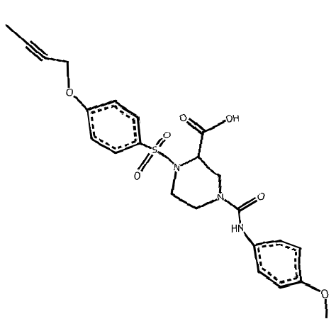 CC#CCOc1ccc(S(=O)(=O)N2CCN(C(=O)Nc3ccc(OC)cc3)CC2C(=O)O)cc1